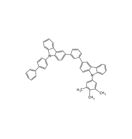 Cc1cc(-n2c3ccccc3c3cc(-c4cccc(-c5ccc6c(c5)c5ccccc5n6-c5ccc(-c6ccccc6)cc5)c4)ccc32)cc(C)c1C